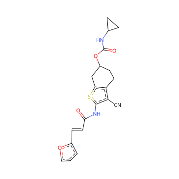 N#Cc1c(NC(=O)C=Cc2ccco2)sc2c1CCC(OC(=O)NC1CC1)C2